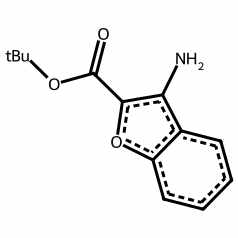 CC(C)(C)OC(=O)c1oc2ccccc2c1N